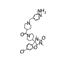 CN1C(=O)N(C)C(c2ccc(Cl)cc2)(C2CCN(C(=O)C3CCN(Cc4ccnc(N)c4)CC3)CC2)C1=O